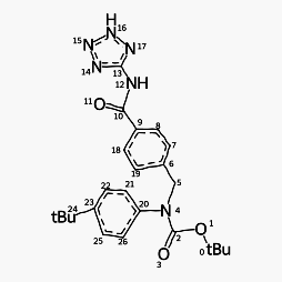 CC(C)(C)OC(=O)N(Cc1ccc(C(=O)Nc2nn[nH]n2)cc1)c1ccc(C(C)(C)C)cc1